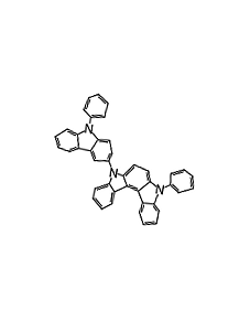 c1ccc(-n2c3ccccc3c3cc(-n4c5ccccc5c5c6c7ccccc7n(-c7ccccc7)c6ccc54)ccc32)cc1